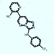 N#Cc1cccnc1-c1cnn2c(Nc3ccc(C(F)(F)F)cc3)nnc2c1